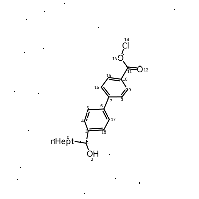 CCCCCCCC(O)c1ccc(-c2ccc(C(=O)OCl)cc2)cc1